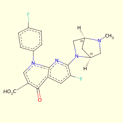 CN1C[C@@H]2C[C@H]1CN2c1nc2c(cc1F)c(=O)c(C(=O)O)cn2-c1ccc(F)cc1